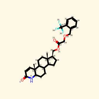 C[C@]12C=CC(=O)NC1CCC1C2CC[C@@]2(C)C1CC[C@@H]2COC(=O)COCc1ccccc1C(F)(F)F